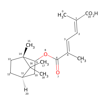 CC(=CC=C(C)C(=O)OC1C[C@H]2CC[C@@]1(C)C2(C)C)C(=O)O